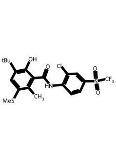 CSc1cc(C(C)(C)C)c(O)c(C(=O)Nc2ccc(S(=O)(=O)C(F)(F)F)cc2Cl)c1C